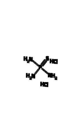 Cl.Cl.NP(N)(N)=S